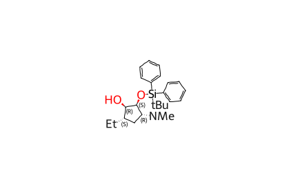 CC[C@H]1C[C@@H](NC)[C@H](O[Si](c2ccccc2)(c2ccccc2)C(C)(C)C)[C@@H]1O